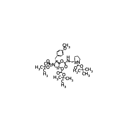 COc1ccc(C[C@@H]2[C@H](OC(=O)NC[C@H]3CCCN3C(=O)OC(C)(C)C)[C@@H](OC(=O)OC(C)(C)C)CN2C(=O)OC(C)(C)C)cc1